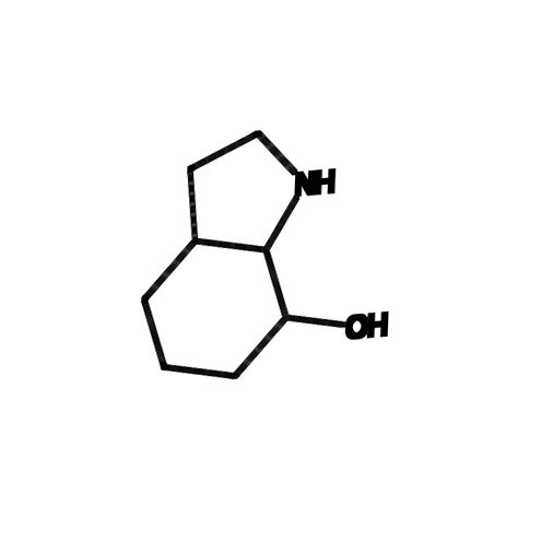 OC1CCCC2CCNC12